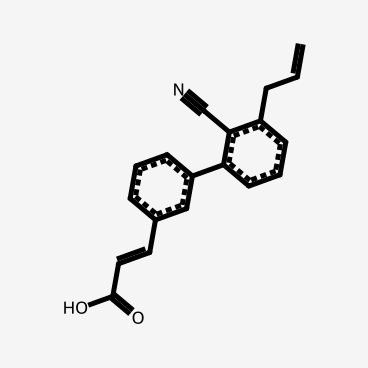 C=CCc1cccc(-c2cccc(C=CC(=O)O)c2)c1C#N